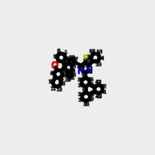 c1ccc2c(c1)Oc1cc3ccccc3cc1C21c2ccccc2-c2c(-c3nc(-c4ccc5c6ccccc6c6ccccc6c5c4)nc4c3sc3ccccc34)cccc21